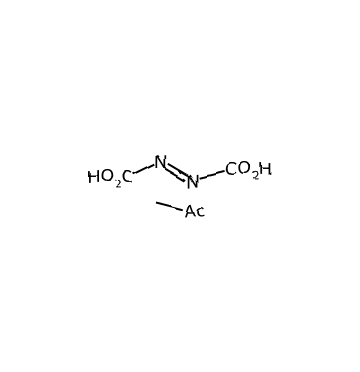 CC(C)=O.O=C(O)N=NC(=O)O